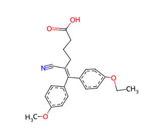 CCOc1ccc(/C(=C(/C#N)CCCC(=O)O)c2ccc(OC)cc2)cc1